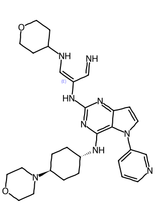 N=C/C(=C\NC1CCOCC1)Nc1nc(N[C@H]2CC[C@H](N3CCOCC3)CC2)c2c(ccn2-c2cccnc2)n1